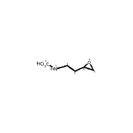 O=C(O)NCCC1CO1